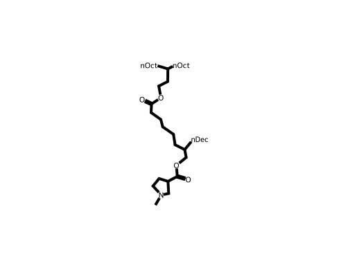 CCCCCCCCCCC(CCCCCC(=O)OCCC(CCCCCCCC)CCCCCCCC)COC(=O)C1CCN(C)C1